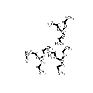 CCOP(OCC)OCC.CCOP(OCC)OCC.CCOP(OCC)OCC.[Cl][Ru]